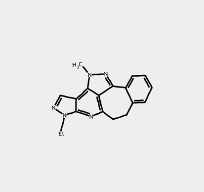 CCn1ncc2c3c4c(nc21)CCc1ccccc1-c4nn3C